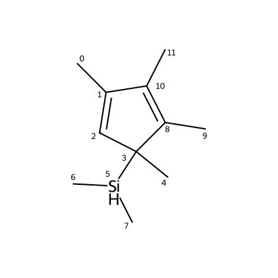 CC1=CC(C)([SiH](C)C)C(C)=C1C